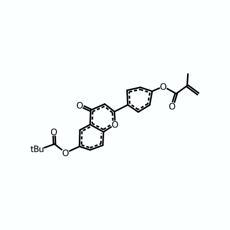 C=C(C)C(=O)Oc1ccc(-c2cc(=O)c3cc(OC(=O)C(C)(C)C)ccc3o2)cc1